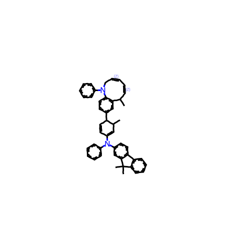 CC1/C=C\C=C/CN(c2ccccc2)c2ccc(C3C=CC(N(c4ccccc4)c4ccc5c(c4)C(C)(C)c4ccccc4-5)=CC3C)cc21